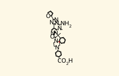 CN1c2c(cnn2C(C)(C(=O)N2CCN(c3ccc(C(=O)O)cc3)CC2)c2ccccc2)-c2nc(-c3ccco3)nn2C1N